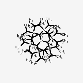 CC(C)[Si](C(C)C)(C(C)C)[CH]([Cr]([CH]([Si](C(C)C)(C(C)C)C(C)C)[Si](C(C)C)(C(C)C)C(C)C)[CH]([Si](C(C)C)(C(C)C)C(C)C)[Si](C(C)C)(C(C)C)C(C)C)[Si](C(C)C)(C(C)C)C(C)C